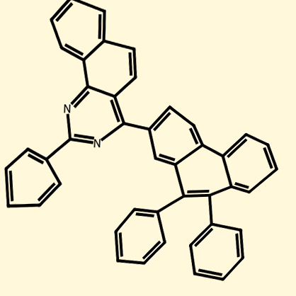 c1ccc(-c2nc(-c3ccc4c(c3)c(-c3ccccc3)c(-c3ccccc3)c3ccccc34)c3ccc4ccccc4c3n2)cc1